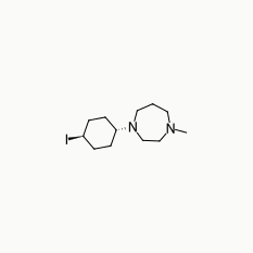 CN1CCCN([C@H]2CC[C@H](I)CC2)CC1